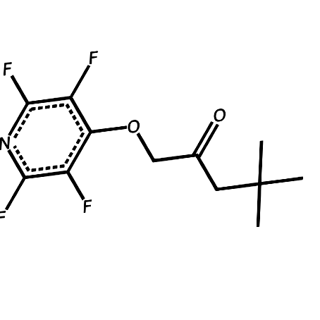 CC(C)(C)CC(=O)COc1c(F)c(F)nc(F)c1F